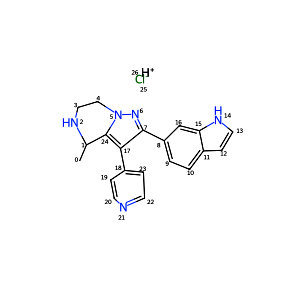 CC1NCCn2nc(-c3ccc4cc[nH]c4c3)c(-c3ccncc3)c21.[Cl-].[H+]